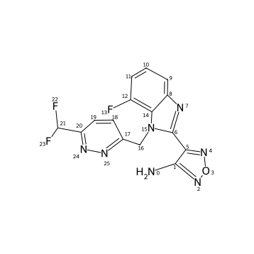 Nc1nonc1-c1nc2cccc(F)c2n1Cc1ccc(C(F)F)nn1